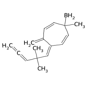 BC1(C)C=CC(=C)/C(=C\C(C)(C)C=C=C)C=C1